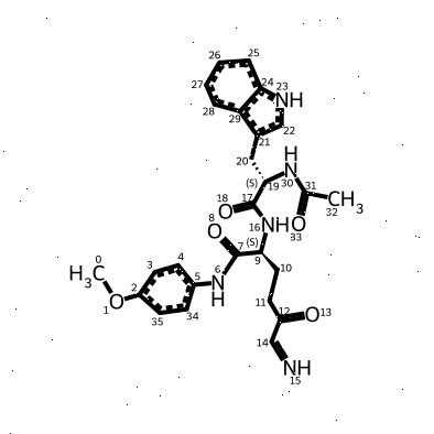 COc1ccc(NC(=O)[C@H](CCC(=O)C=N)NC(=O)[C@H](Cc2c[nH]c3ccccc23)NC(C)=O)cc1